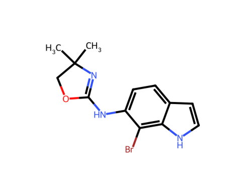 CC1(C)COC(Nc2ccc3cc[nH]c3c2Br)=N1